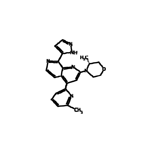 Cc1cccc(-c2cc(N3CCOC[C@H]3C)nc3c(-c4ccn[nH]4)nccc23)n1